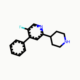 Fc1cnc(C2CCNCC2)cc1-c1ccccc1